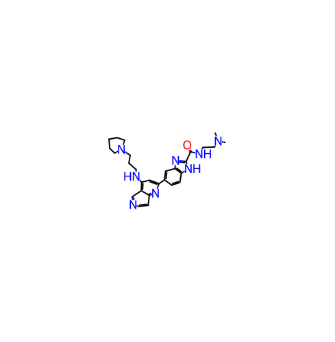 CN(C)CCNC(=O)c1nc2cc(-c3cc(NCCCN4CCCCC4)c4cnccc4n3)ccc2[nH]1